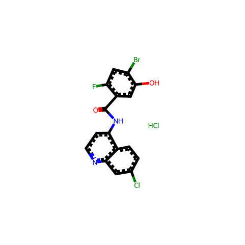 Cl.O=C(Nc1ccnc2cc(Cl)ccc12)c1cc(O)c(Br)cc1F